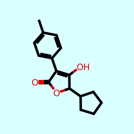 Cc1ccc(C2=C(O)C(C3CCCC3)OC2=O)cc1